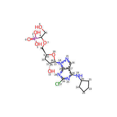 O=P(O)(O)C(CO)OC[C@@H]1C[C@@H](O)[C@H](n2ncc3c(NC4CCCC4)nc(Cl)nc32)O1